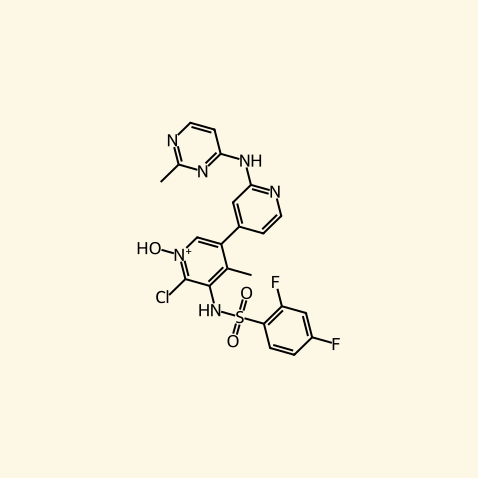 Cc1nccc(Nc2cc(-c3c[n+](O)c(Cl)c(NS(=O)(=O)c4ccc(F)cc4F)c3C)ccn2)n1